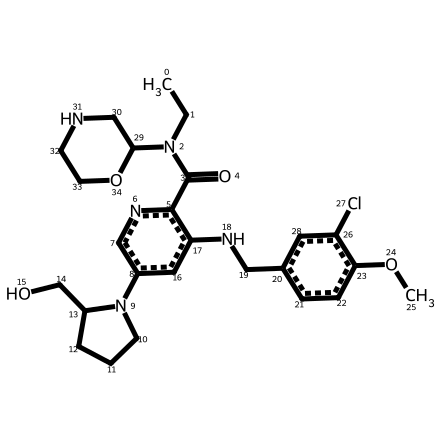 CCN(C(=O)c1ncc(N2CCCC2CO)cc1NCc1ccc(OC)c(Cl)c1)C1CNCCO1